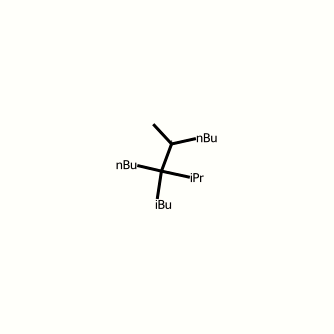 CCCC[C](C)C(CCCC)(C(C)C)C(C)CC